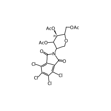 CC(=O)OCC1OCC(N2C(=O)c3c(Cl)c(Cl)c(Cl)c(Cl)c3C2=O)C(OC(C)=O)[C@H]1OC(C)=O